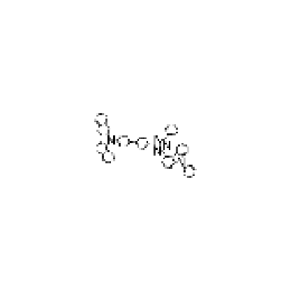 c1ccc(-c2nc(-c3ccc(-c4ccc(-n5c6cc7ccccc7cc6c6ccc7ccccc7c65)cc4)cc3)nc(-c3cccc4c3c3ccccc3n4-c3ccccc3)n2)cc1